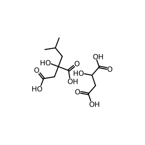 CC(C)CC(O)(CC(=O)O)C(=O)O.O=C(O)CC(O)C(=O)O